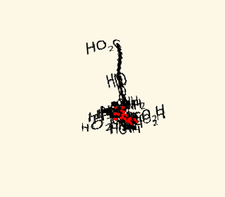 CC(=O)N[C@@H](CCS)C(=O)N[C@@H](Cc1c[nH]cn1)C(=O)N[C@H](Cc1ccccc1)C(=O)N[C@@H](CCCNC(=N)N)C(=O)N[C@@H](Cc1c[nH]c2ccccc12)C(=O)N[C@@H](CS)C(=O)N1CCC[C@H]1C(=O)N1CCC[C@H]1C(=O)N[C@@H](CO)C(=O)N[C@@H](CCC(=O)O)C(=O)N[C@@H](CCCCN(CC(=O)O)CC(=O)O)C(=O)N[C@@H](CCCCNC(=O)COCCOCCNC(=O)CCCCCCCCCCCCCCC(=O)O)C(N)=O